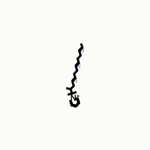 C/C=C/CC/C=C/CC/C=C/CC(C)C(C)(C)[n+]1ccccc1